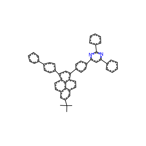 CC(C)(C)c1cc2ccc3c(-c4ccc(-c5ccccc5)cc4)cc(-c4ccc(-c5cc(-c6ccccc6)nc(-c6ccccc6)n5)cc4)c4ccc(c1)c2c34